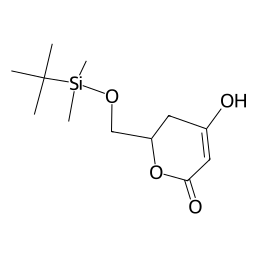 CC(C)(C)[Si](C)(C)OCC1CC(O)=CC(=O)O1